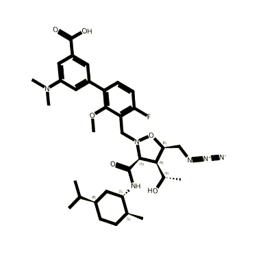 COc1c(-c2cc(C(=O)O)cc(N(C)C)c2)ccc(F)c1CN1O[C@@H](CN=[N+]=[N-])[C@@H]([C@H](C)O)[C@H]1C(=O)N[C@H]1C[C@H](C(C)C)CC[C@@H]1C